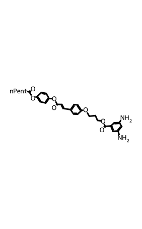 CCCCCC(=O)Oc1ccc(OC(=O)C=Cc2ccc(OCCCOC(=O)c3cc(N)cc(N)c3)cc2)cc1